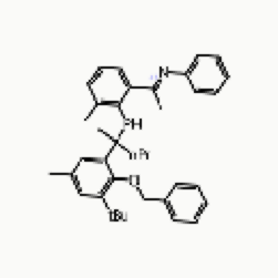 CCCC(C)(Pc1c(C)cccc1/C(C)=N/c1ccccc1)c1cc(C)cc(C(C)(C)C)c1OCc1ccccc1